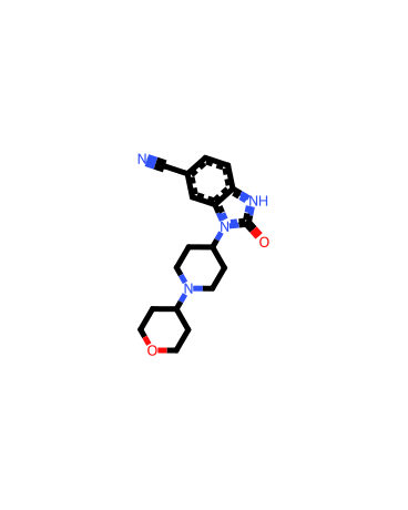 N#Cc1ccc2[nH]c(=O)n(C3CCN(C4CCOCC4)CC3)c2c1